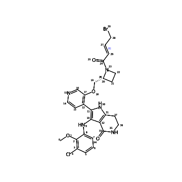 COc1c(Cl)cccc1Nc1c(-c2ccncc2OC[C@H]2CCN2C(=O)/C=C/CBr)[nH]c2c1C(=O)NCC2